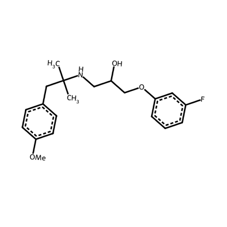 COc1ccc(CC(C)(C)NCC(O)COc2cccc(F)c2)cc1